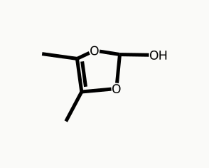 CC1=C(C)OC(O)O1